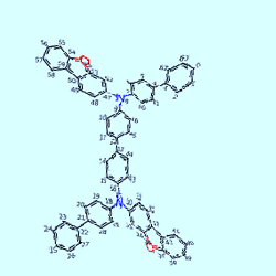 c1ccc(-c2ccc(N(c3ccc(-c4ccc(N(c5ccc(-c6ccccc6)cc5)c5ccc6c(c5)oc5ccccc56)cc4)cc3)c3ccc4c(c3)oc3ccccc34)cc2)cc1